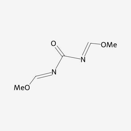 COC=NC(=O)N=COC